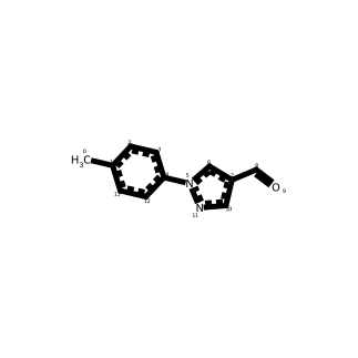 Cc1ccc(-n2cc(C=O)cn2)cc1